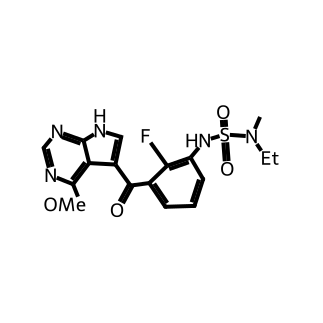 CCN(C)S(=O)(=O)Nc1cccc(C(=O)c2c[nH]c3ncnc(OC)c23)c1F